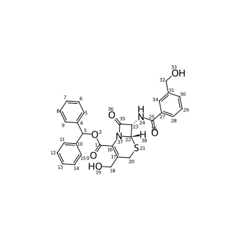 O=C(OC(c1ccccc1)c1ccccc1)C1=C(CO)CS[C@H]2[C@@H](NC(=O)c3cccc(CO)c3)C(=O)N12